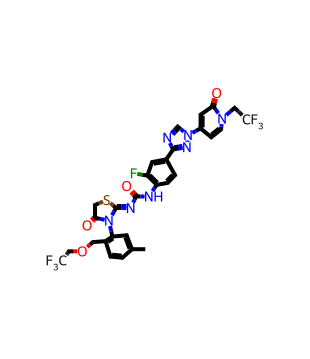 Cc1ccc(COCC(F)(F)F)c(N2C(=O)CSC2=NC(=O)Nc2ccc(-c3ncn(-c4ccn(CC(F)(F)F)c(=O)c4)n3)cc2F)c1